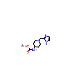 CC(C)(C)OC(=O)NC1CCN(Cc2ncc[nH]2)CC1